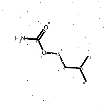 CC(C)CSOC(N)=O